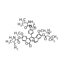 COc1cc(-c2c3c4cc(OC)c(OC(=O)[C@H](N)C(C)C)cc4oc(=O)c3n3ccc4cc(OC(=O)[C@H](N)C(C)C)c(OC)cc4c23)ccc1OC(=O)[C@H](N)C(C)C